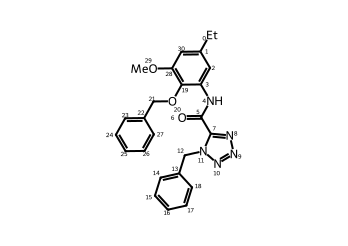 CCc1cc(NC(=O)c2nnnn2Cc2ccccc2)c(OCc2ccccc2)c(OC)c1